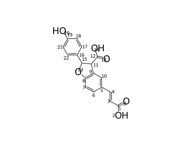 O=C(O)C=Cc1ccc2c(c1)C(C(=O)O)C(c1ccc(O)cc1)O2